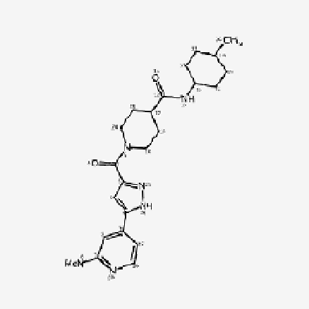 CNc1cc(-c2cc(C(=O)N3CCC(C(=O)NC4CCC(C)CC4)CC3)n[nH]2)ccn1